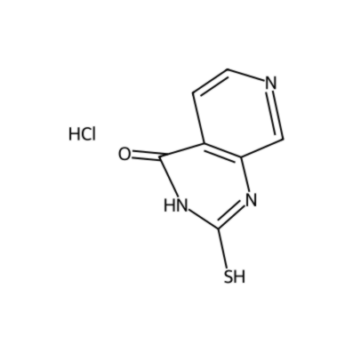 Cl.O=c1[nH]c(S)nc2cnccc12